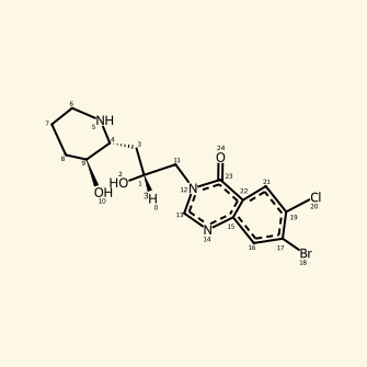 [3H][C@@](O)(C[C@H]1NCCC[C@@H]1O)Cn1cnc2cc(Br)c(Cl)cc2c1=O